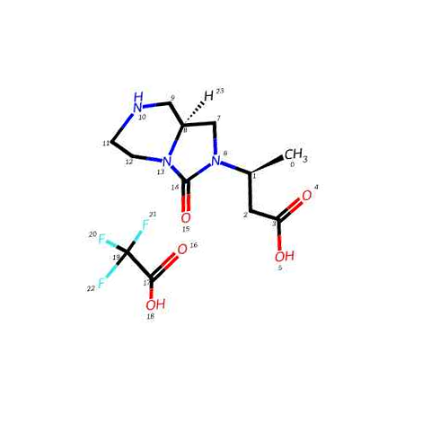 C[C@@H](CC(=O)O)N1C[C@@H]2CNCCN2C1=O.O=C(O)C(F)(F)F